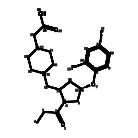 CCC(=O)N1C[C@@H](Oc2ccc(F)cc2F)CC1CN1CCN(CC(=O)O)CC1